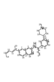 C=C=C(Nc1cc2cc(/C(C)=C/C=C\C)ccc2cn1)c1ccnc(C2CCN(C)CC2)c1